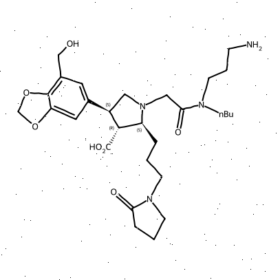 CCCCN(CCCN)C(=O)CN1C[C@H](c2cc(CO)c3c(c2)OCO3)[C@@H](C(=O)O)[C@@H]1CCCN1CCCC1=O